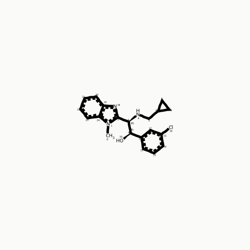 Cn1c([C@@H](NCC2CC2)[C@H](O)c2cccc(Cl)c2)nc2ccccc21